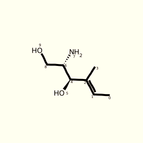 C/C=C(\C)[C@@H](O)[C@@H](N)CO